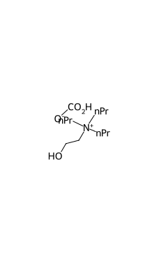 CCC[N+](CCC)(CCC)CCO.O=C([O-])O